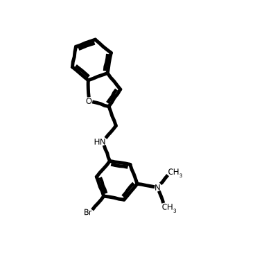 CN(C)c1cc(Br)cc(NCc2cc3ccccc3o2)c1